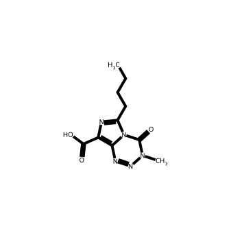 CCCCc1nc(C(=O)O)c2nnn(C)c(=O)n12